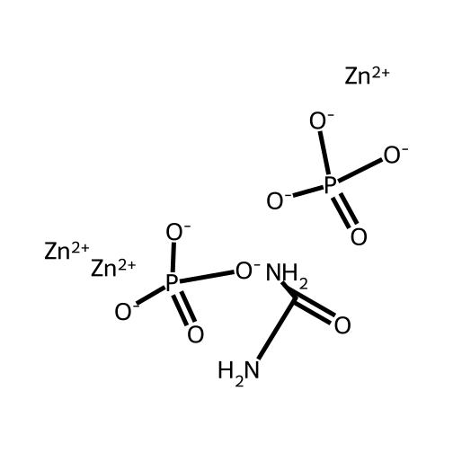 NC(N)=O.O=P([O-])([O-])[O-].O=P([O-])([O-])[O-].[Zn+2].[Zn+2].[Zn+2]